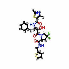 Cc1nc(C)c(C(=O)N[C@@H](Cc2ccccc2)[C@H](O)C(=O)N2CC(F)(F)C[C@H]2C(=O)NCc2cccs2)s1